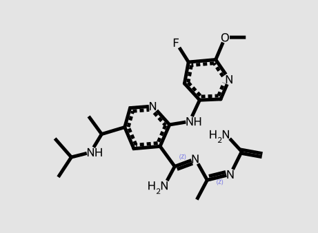 C=C(N)/N=C(C)\N=C(/N)c1cc(C(C)NC(C)C)cnc1Nc1cnc(OC)c(F)c1